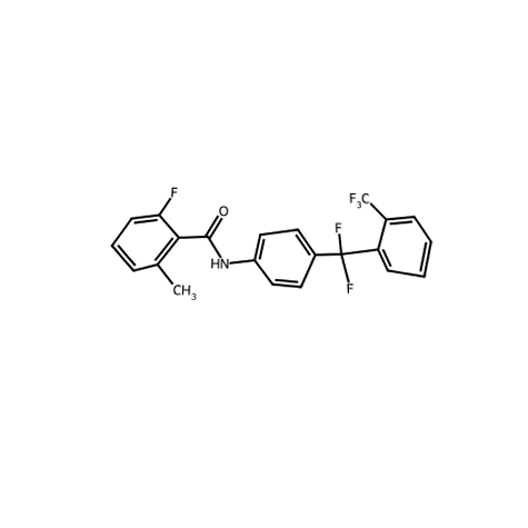 Cc1cccc(F)c1C(=O)Nc1ccc(C(F)(F)c2ccccc2C(F)(F)F)cc1